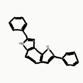 c1ccc(-c2cc3c(ccc4cc(-c5ccccc5)[nH]c43)[nH]2)cc1